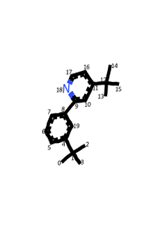 CC(C)(C)c1cccc(-c2cc(C(C)(C)C)ccn2)c1